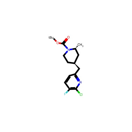 C[C@@H]1C[C@@H](Cc2ccc(F)c(Cl)n2)CCN1C(=O)OC(C)(C)C